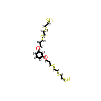 SCCSCCSCCCOc1cccc(OCCCSCCSCCS)c1